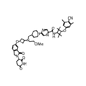 COCCN(CC1CCN(c2cnc(C(=O)NC3C(C)(C)C(Oc4cc(C)c(C#N)c(C)c4)C3(C)C)cn2)CC1)C1CC(Oc2ccc3c(c2)C(=O)N([C@@H]2CCC(=O)NC2=O)C3)C1